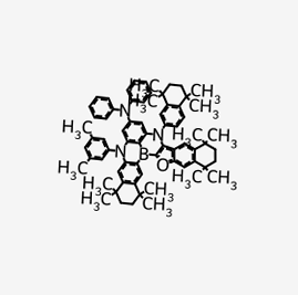 Cc1cc(C)cc(N2c3cc4c(cc3B3c5oc6cc7c(cc6c5N(c5ccc6c(c5)C(C)(C)CCC6(C)C)c5cc(N(c6ccccc6)c6ccccc6)cc2c53)C(C)(C)CCC7(C)C)C(C)(C)CCC4(C)C)c1